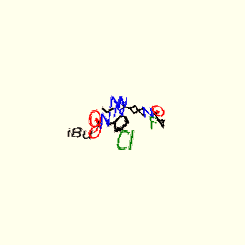 CC[C@@H](C)OC(=O)N1Cc2cc(Cl)ccc2-n2c(C3CC4(C3)CN(C(=O)C3(F)CC3)C4)nnc2C1C